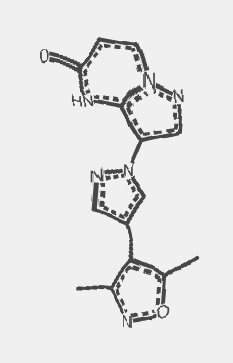 Cc1noc(C)c1-c1cnn(-c2cnn3ccc(=O)[nH]c23)c1